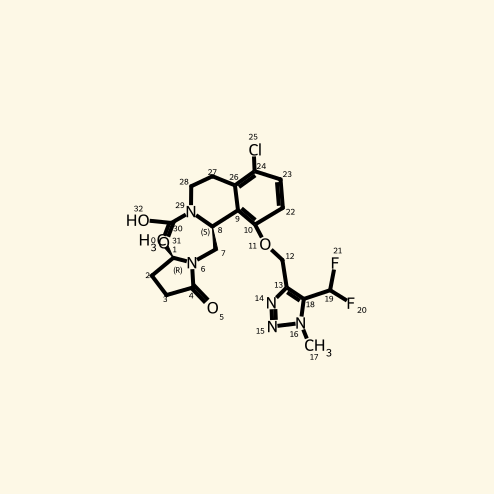 C[C@@H]1CCC(=O)N1C[C@@H]1c2c(OCc3nnn(C)c3C(F)F)ccc(Cl)c2CCN1C(=O)O